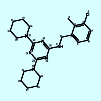 Cc1c(Cl)cccc1CNc1nc(N2CCCCC2)nc(N2CCCCC2)n1